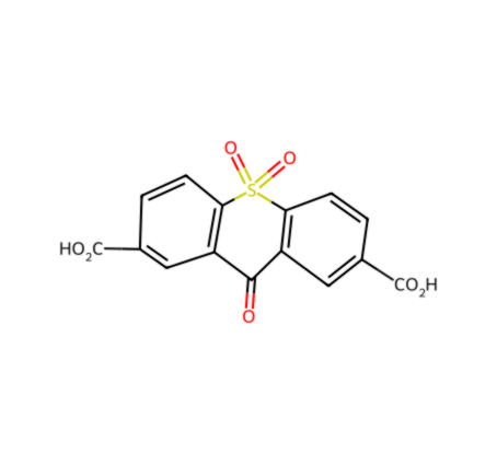 O=C(O)c1ccc2c(c1)C(=O)c1cc(C(=O)O)ccc1S2(=O)=O